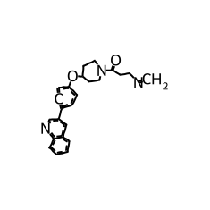 C=NCCC(=O)N1CCC(Oc2ccc(-c3cnc4ccccc4c3)cc2)CC1